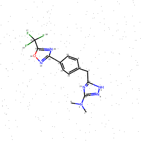 CN(C)c1n[nH]c(Cc2ccc(-c3noc(C(F)(F)F)n3)cc2)n1